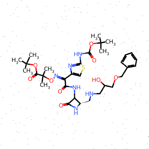 CC(C)(C)OC(=O)Nc1nc(/C(=N/OC(C)(C)C(=O)OC(C)(C)C)C(=O)NC2C(=O)N[C@H]2CNCC(O)COCc2ccccc2)cs1